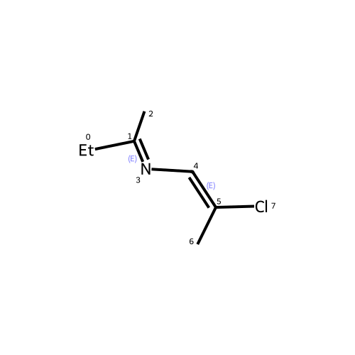 CC/C(C)=N/C=C(\C)Cl